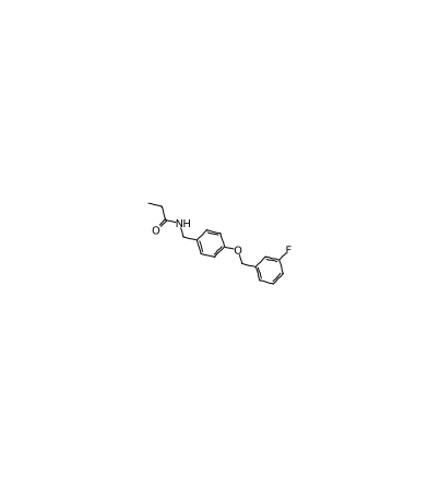 CCC(=O)NCc1ccc(OCc2cccc(F)c2)cc1